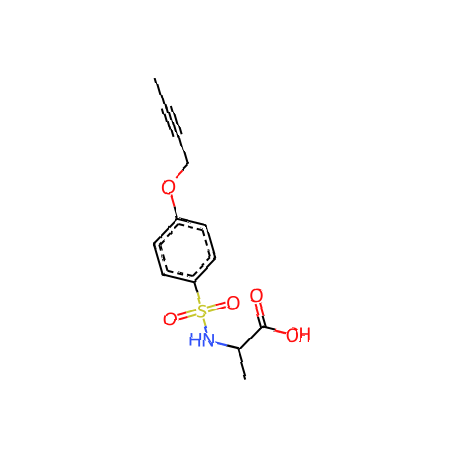 CC#CCOc1ccc(S(=O)(=O)NC(C)C(=O)O)cc1